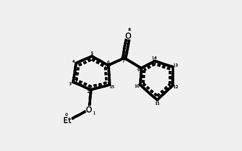 CCOc1cccc(C(=O)c2ccccc2)c1